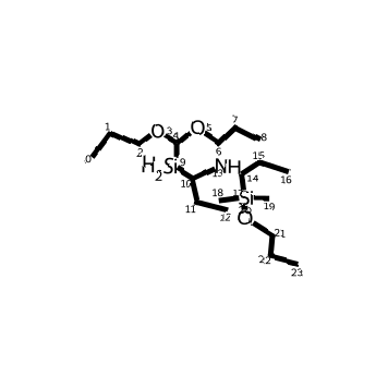 CCCOC(OCCC)[SiH2]C(CC)NC(CC)[Si](C)(C)OCCC